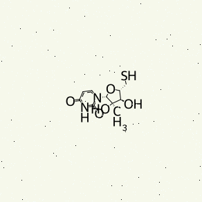 C[C@@]1(O)[C@H](O)[C@@H](CS)O[C@H]1n1ccc(=O)[nH]c1=O